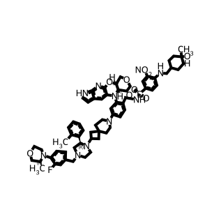 Cc1ccccc1[C@@H]1CN(Cc2ccc(N3CCOC[C@H]3C)c(F)c2)CCN1C1CC2(CCN(c3ccc(C(=O)NS(=O)(=O)c4ccc(NCC5CCC(C)(O)CC5)c([N+](=O)[O-])c4)c(N4c5cc6cc[nH]c6nc5O[C@H]5COCC[C@@H]54)c3)CC2)C1